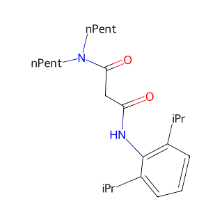 CCCCCN(CCCCC)C(=O)CC(=O)Nc1c(C(C)C)cccc1C(C)C